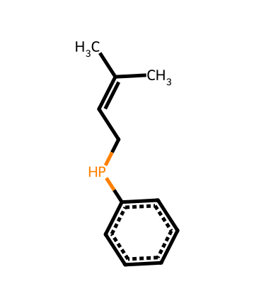 CC(C)=CCPc1ccccc1